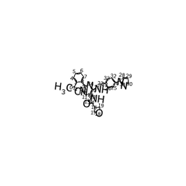 CC(C)c1ccccc1-c1ncc(NC(=O)C2COC2)c(NCc2ccc(-n3cccn3)cc2)n1